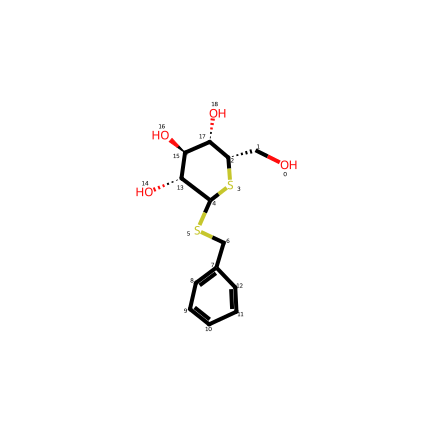 OC[C@@H]1SC(SCc2ccccc2)[C@H](O)[C@@H](O)[C@@H]1O